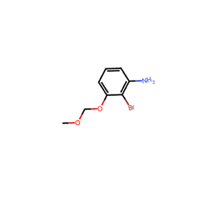 COCOc1cccc(N)c1Br